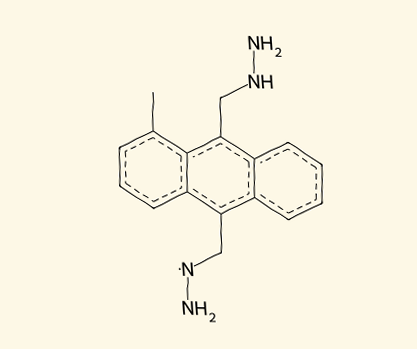 Cc1cccc2c(C[N]N)c3ccccc3c(CNN)c12